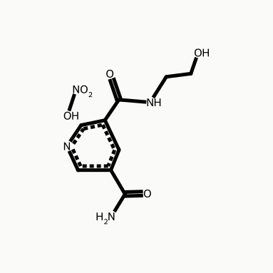 NC(=O)c1cncc(C(=O)NCCO)c1.O=[N+]([O-])O